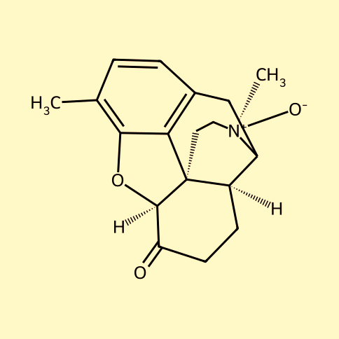 Cc1ccc2c3c1O[C@@H]1C(=O)CC[C@@H]4C(C2)[N@+](C)([O-])CC[C@@]314